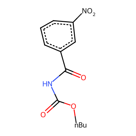 CCCCOC(=O)NC(=O)c1cccc([N+](=O)[O-])c1